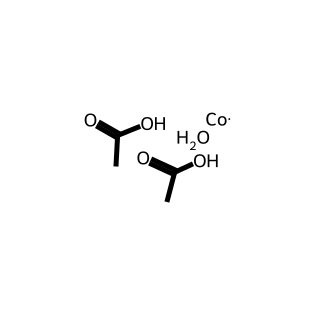 CC(=O)O.CC(=O)O.O.[Co]